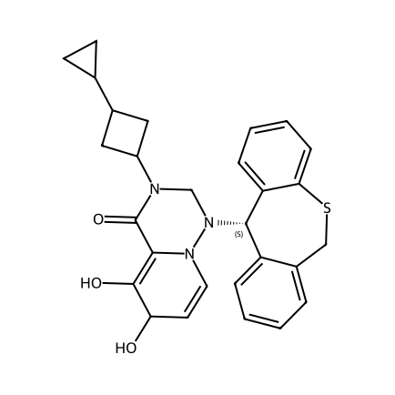 O=C1C2=C(O)C(O)C=CN2N([C@H]2c3ccccc3CSc3ccccc32)CN1C1CC(C2CC2)C1